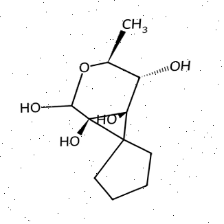 C[C@@H]1OC(O)[C@@]2(O)C3(CCCC3)[C@@]2(O)[C@H]1O